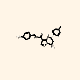 Cc1ccc([C@@H]2C[C@H](C(F)(F)F)n3ncc(C(=O)NCc4ccc(C(F)(F)F)cc4)c3N2)cc1